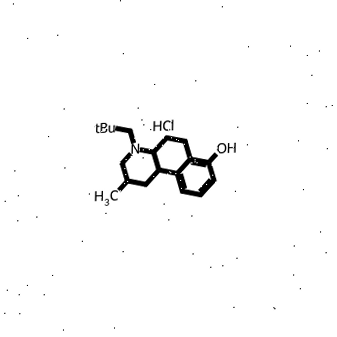 CC1CC2c3cccc(O)c3CCC2N(CC(C)(C)C)C1.Cl